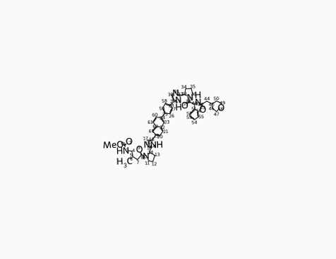 COC(=O)NCC(C)CC(=O)N1CCCC1c1ncc(-c2ccc3cc(-c4ccc(-c5cnc(C6CCCN6C(=O)C(NC(=O)CC6CCOCC6)c6ccccc6)[nH]5)cc4)ccc3c2)[nH]1